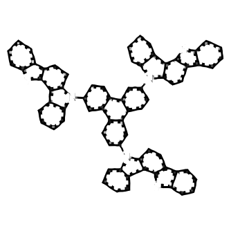 c1ccc2c(c1)sc1c2ccc2c1c1ccccc1n2-c1ccc2c(c1)c1ccc(-n3c4ccccc4c4c5sc6ccccc6c5ccc43)cc1c1ccc(-n3c4ccccc4c4c5sc6ccccc6c5ccc43)cc21